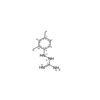 Cc1ccc(NNC(=N)N)c(C)c1